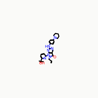 C=CCn1c(=O)c2cnc(Nc3ccc(N4CCCCC4)cc3)nc2n1-c1cccc(C(C)(C)O)n1